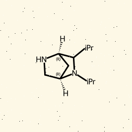 CC(C)C1[C@H]2C[C@H](CN2)N1C(C)C